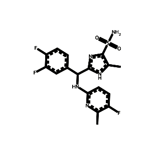 Cc1nc(NC(c2ccc(F)c(F)c2)c2nc(S(N)(=O)=O)c(C)[nH]2)ccc1F